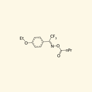 CCCC(=O)O/N=C(/c1ccc(OCC)cc1)C(F)(F)F